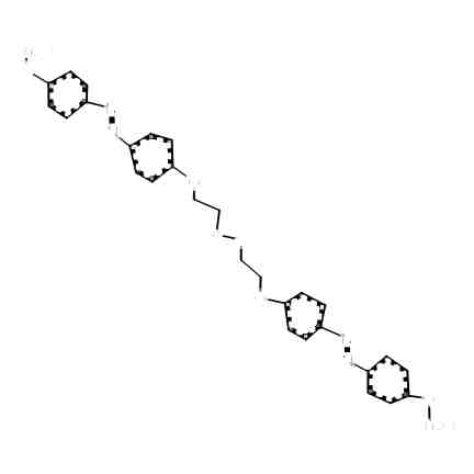 CCCCOc1ccc(N=Nc2ccc(OCC[Se][Se]CCOc3ccc(N=Nc4ccc(OCCCC)cc4)cc3)cc2)cc1